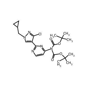 CC(C)(C)OC(=O)N(C(=O)OC(C)(C)C)c1ccnc(-c2cn(CC3CC3)nc2Cl)n1